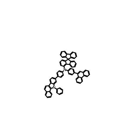 c1ccc(-n2c3cc(-c4ccc(N(c5ccc(-c6cc7ccccc7c7ccccc67)cc5)c5cccc6c5-c5ccccc5C65c6ccccc6-c6ccccc65)cc4)ccc3c3ccc4ccccc4c32)cc1